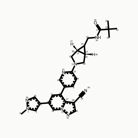 Cn1cc(-c2cc(-c3ccc(N4C[C@@H]5C(CNC(=O)C(C)(C)C)[C@@H]5C4)nc3)c3c(C#N)cnn3c2)cn1